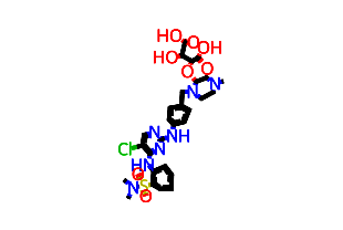 CN1CCN(Cc2ccc(Nc3ncc(Cl)c(Nc4ccccc4S(=O)(=O)N(C)C)n3)cc2)C(OC(C(=O)O)C(O)C(=O)O)C1